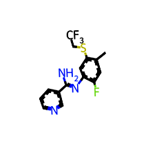 Cc1cc(F)c(/N=C(\N)c2cccnc2)cc1SCC(F)(F)F